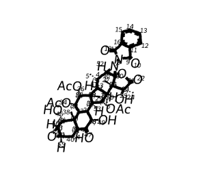 CC(=O)O[C@H]1[C@@H]2[C@H]([C@H](C)[C@H]3N(N4C(=O)c5ccccc5C4=O)[C@]34OC(=O)[C@@](C)(O)[C@]24C)[C@]2(C)[C@@H]1C1C([C@H](OC(C)=O)[C@@H]2OC(C)=O)[C@]2(C)[C@H](C[C@@H]3O[C@@H]3[C@@H]2O)C(=O)[C@@H]1O